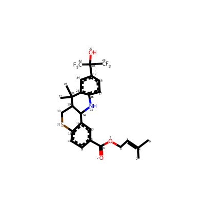 CC(C)=CCOC(=O)c1ccc2c(c1)C1Nc3ccc(C(O)(C(F)(F)F)C(F)(F)F)cc3C(C)(C)C1CS2